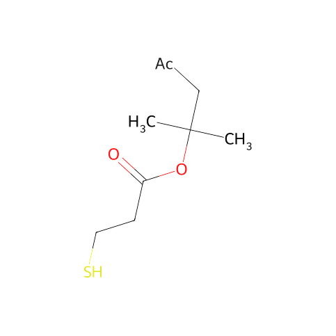 CC(=O)CC(C)(C)OC(=O)CCS